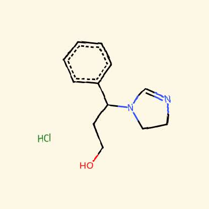 Cl.OCCC(c1ccccc1)N1C=NCC1